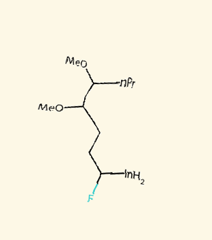 CCCC(OC)C(CC[CH](F)[InH2])OC